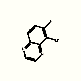 Fc1ccc2nccnc2c1Br